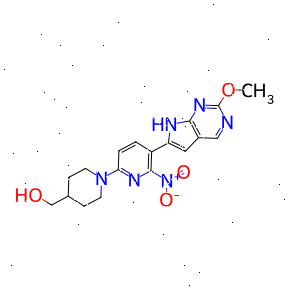 COc1ncc2cc(-c3ccc(N4CCC(CO)CC4)nc3[N+](=O)[O-])[nH]c2n1